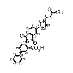 CC(C)(C)C(=O)CCn1cc(-c2ccc3c(c2)C(=O)N(c2ccc(-c4ccccc4)cc2C(=O)O)C3=O)nn1